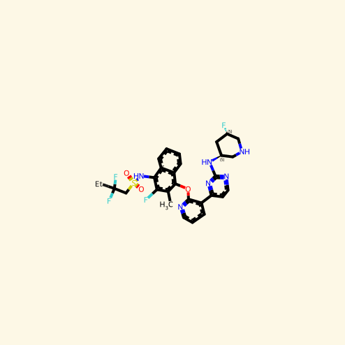 CCC(F)(F)CS(=O)(=O)Nc1c(F)c(C)c(Oc2ncccc2-c2ccnc(N[C@@H]3CNC[C@@H](F)C3)n2)c2ccccc12